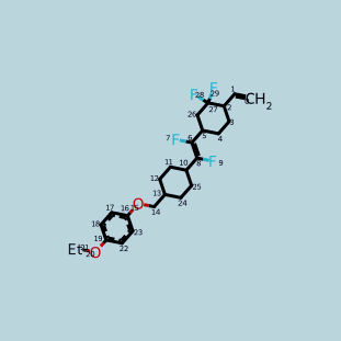 C=CC1CCC(/C(F)=C(\F)C2CCC(COc3ccc(OCC)cc3)CC2)CC1(F)F